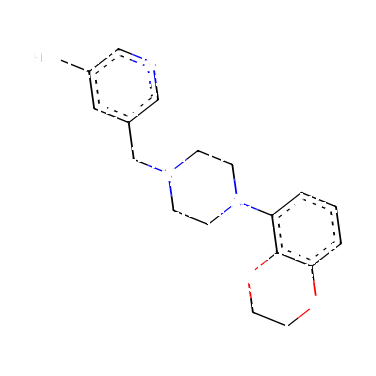 Cc1cncc(CN2CCN(c3cccc4c3OCCO4)CC2)c1